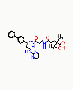 CC(C)(CCC(=O)NCCC(=O)NC[C@H](CCNc1ncccn1)c1ccc(-c2ccccc2)cc1)C(=O)O